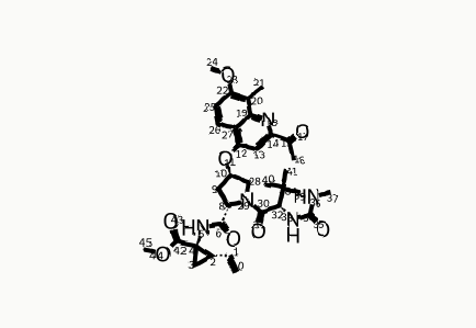 C=C[C@@H]1C[C@]1(NC(=O)[C@@H]1C[C@@H](Oc2cc(C(C)=O)nc3c(C)c(OC)ccc23)CN1C(=O)[C@@H](NC(=O)NC)C(C)(C)C)C(=O)OC